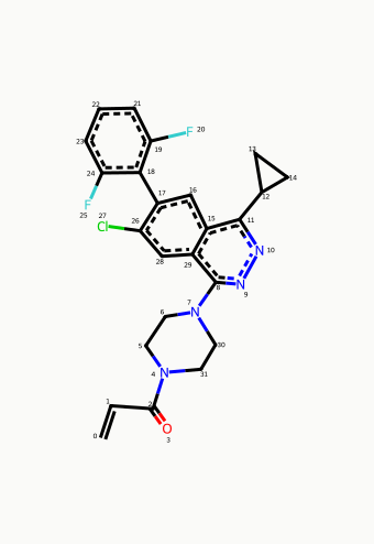 C=CC(=O)N1CCN(c2nnc(C3CC3)c3cc(-c4c(F)cccc4F)c(Cl)cc23)CC1